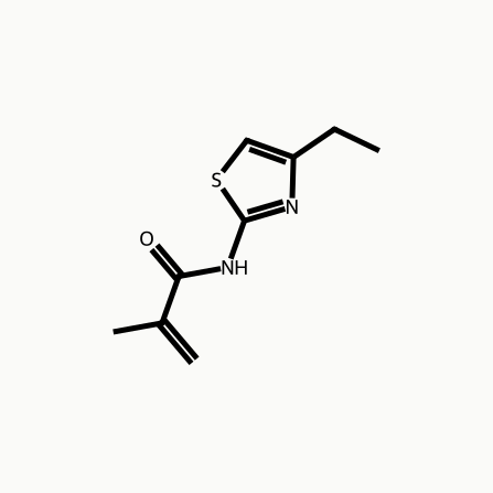 C=C(C)C(=O)Nc1nc(CC)cs1